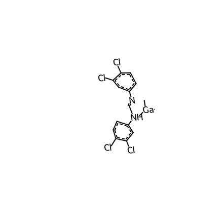 Clc1ccc(N=CNc2ccc(Cl)c(Cl)c2)cc1Cl.[CH3][Ga][CH3]